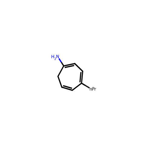 CCCC1=CC=C(N)CC=C1